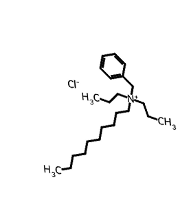 CCCCCCCCCC[N+](CCC)(CCC)Cc1ccccc1.[Cl-]